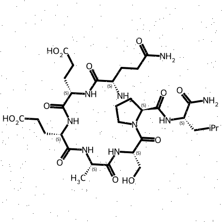 CC(C)C[C@H](NC(=O)[C@@H]1CCCN1C(=O)[C@H](CO)NC(=O)[C@H](C)NC(=O)[C@H](CCC(=O)O)NC(=O)[C@H](CCC(=O)O)NC(=O)[C@@H](N)CCC(N)=O)C(N)=O